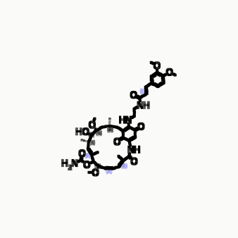 COc1ccc(/C=C/C(=O)NCCNC2=C3C[C@@H](C)C[C@H](OC)[C@H](O)[C@@H](C)/C=C(\C)C(OC(N)=O)[C@@H](OC)/C=C\C=C(/C)C(=O)NC(=CC2=O)C3=O)cc1OC